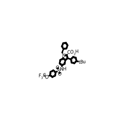 CC(C)(C)c1ccc(-c2c(C(=O)O)n(Cc3ccccc3)c3ccc(NS(=O)(=O)c4ccc(OC(F)(F)F)cc4)cc23)cc1